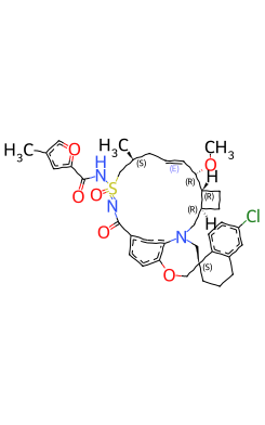 CO[C@H]1/C=C/C[C@H](C)CS(=O)(NC(=O)c2cc(C)co2)=NC(=O)c2ccc3c(c2)N(C[C@@H]2CC[C@H]21)C[C@@]1(CCCc2cc(Cl)ccc21)CO3